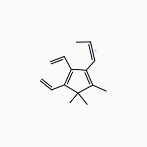 C=CC1=C(C=C)C(C)(C)C(C)=C1/C=C\C